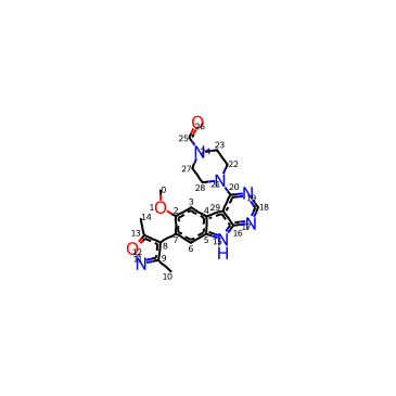 COc1cc2c(cc1-c1c(C)noc1C)[nH]c1ncnc(N3CCN(C=O)CC3)c12